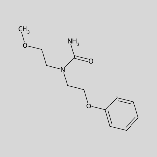 COCCN(CCOc1[c]cccc1)C(N)=O